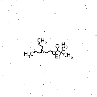 C=CCN(CC=C)CCOC(=O)C(C)(C)CC